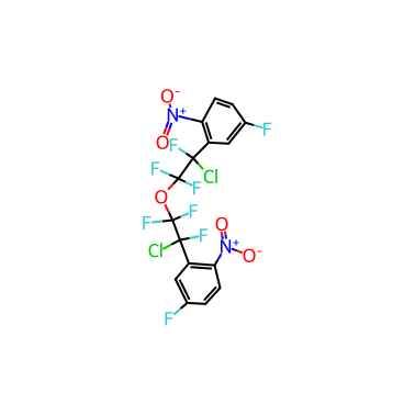 O=[N+]([O-])c1ccc(F)cc1C(F)(Cl)C(F)(F)OC(F)(F)C(F)(Cl)c1cc(F)ccc1[N+](=O)[O-]